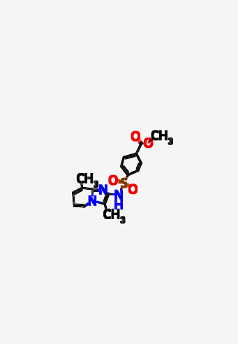 COC(=O)c1ccc(S(=O)(=O)Nc2nc3c(C)cccn3c2C)cc1